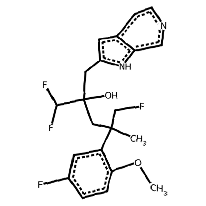 COc1ccc(F)cc1C(C)(CF)CC(O)(Cc1cc2ccncc2[nH]1)C(F)F